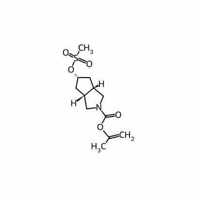 C=C(C)OC(=O)N1C[C@H]2C[C@@H](OS(C)(=O)=O)C[C@H]2C1